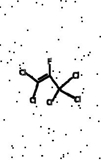 FC(=C(Cl)Cl)C(Cl)(Cl)Cl